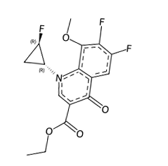 CCOC(=O)c1cn([C@@H]2C[C@H]2F)c2c(OC)c(F)c(F)cc2c1=O